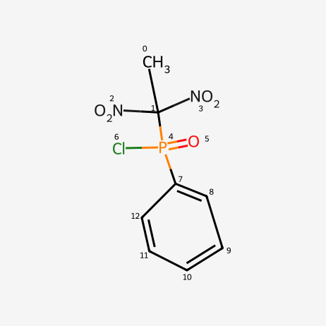 CC([N+](=O)[O-])([N+](=O)[O-])P(=O)(Cl)c1ccccc1